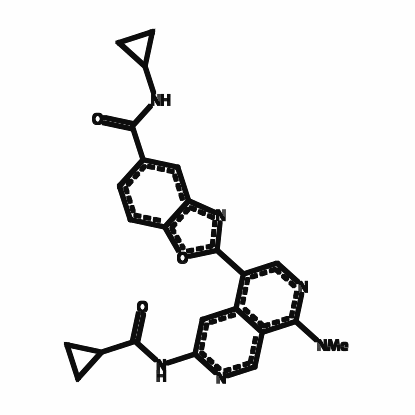 CNc1ncc(-c2nc3cc(C(=O)NC4CC4)ccc3o2)c2cc(NC(=O)C3CC3)ncc12